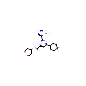 Cn1cncc1-c1nc(C(=O)NC2CCOCC2)cc(C2CCC(F)(F)CC2)n1